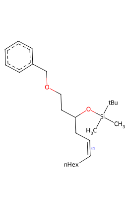 CCCCCC/C=C\CC(CCOCc1ccccc1)O[Si](C)(C)C(C)(C)C